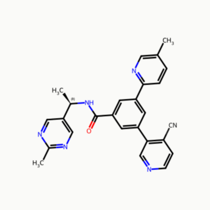 Cc1ccc(-c2cc(C(=O)N[C@H](C)c3cnc(C)nc3)cc(-c3cnccc3C#N)c2)nc1